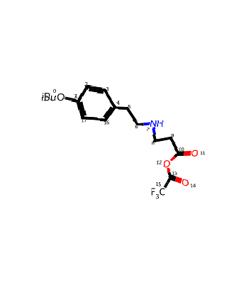 CC(C)COc1ccc(CCNCCC(=O)OC(=O)C(F)(F)F)cc1